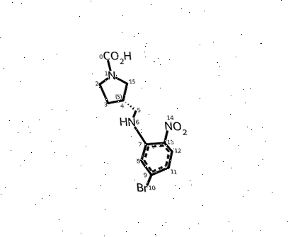 O=C(O)N1CC[C@@H](CNc2cc(Br)ccc2[N+](=O)[O-])C1